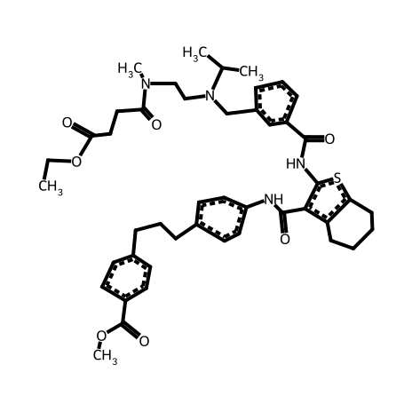 CCOC(=O)CCC(=O)N(C)CCN(Cc1cccc(C(=O)Nc2sc3c(c2C(=O)Nc2ccc(CCCc4ccc(C(=O)OC)cc4)cc2)CCCC3)c1)C(C)C